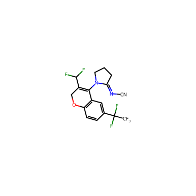 N#CN=C1CCCN1C1=C(C(F)F)COc2ccc(C(F)(F)C(F)(F)F)cc21